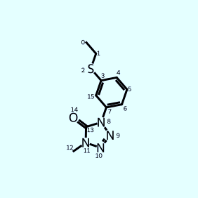 CCSc1cccc(-n2nnn(C)c2=O)c1